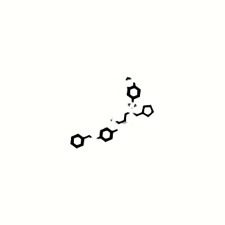 O=C(O)N[C@@H](Cc1ccc(OCc2ccccc2)cc1)[C@H](O)CN(CC1CCCC1)S(=O)(=O)c1ccc2c(c1)OCO2